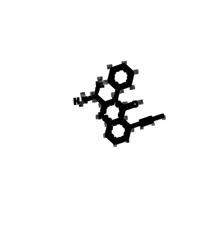 CC#Cc1cccc2nc([C@@H](N)CC)n(-c3ccccc3)c(=O)c12